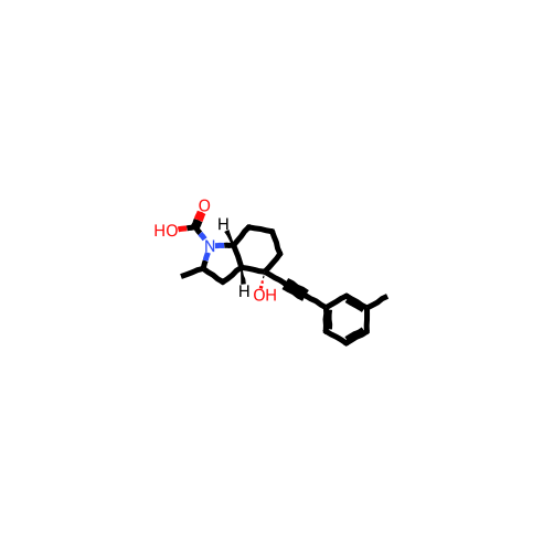 Cc1cccc(C#C[C@]2(O)CCC[C@@H]3[C@H]2CC(C)N3C(=O)O)c1